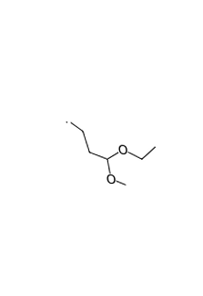 [CH2]CCC(OC)OCC